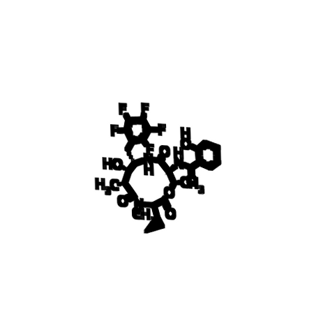 C[C@H]1OC(=O)C(C2CC2)N(C)C(=O)[C@H](C)[C@H](O)[C@H](Cc2c(F)c(F)c(F)c(F)c2F)NC(=O)[C@H]1NC(=O)c1ccccc1O